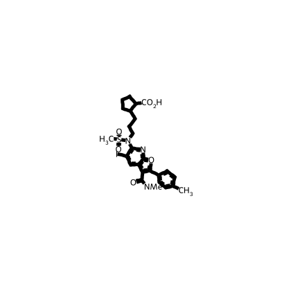 CNC(=O)c1c(-c2ccc(C)cc2)oc2nc(N(CCCC3CCCC3C(=O)O)S(C)(=O)=O)c(I)cc12